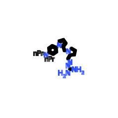 CCCN(CCC)c1ccc(-n2cccc2CN2CCCC2/C=N/N=C(N)N)cc1